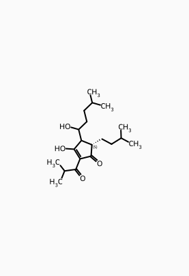 CC(C)CCC(O)C1C(O)=C(C(=O)C(C)C)C(=O)[C@H]1CCC(C)C